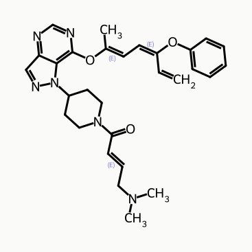 C=C/C(=C\C=C(/C)Oc1ncnc2cnn(C3CCN(C(=O)/C=C/CN(C)C)CC3)c12)Oc1ccccc1